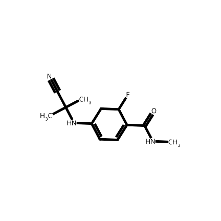 CNC(=O)C1=CC=C(NC(C)(C)C#N)CC1F